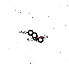 COc1ccc2c(c1)[C@@]1(C)CCN(C)C(C2)[C@@H]1c1cccc(C#N)c1